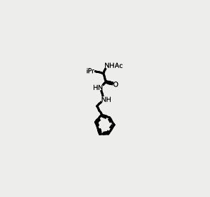 CC(=O)NC(C(=O)NNCc1ccccc1)C(C)C